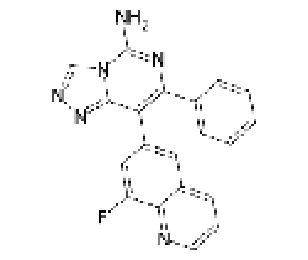 Nc1nc(-c2ccccc2)c(-c2cc(F)c3ncccc3c2)c2nncn12